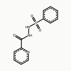 O=C(NNS(=O)(=O)c1ccccc1)c1ccccn1